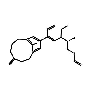 C=CSC[C@H](C)C(/C=C(\C=C)c1cc2c(C)c(c1)CCC(=C)CCC2)CI